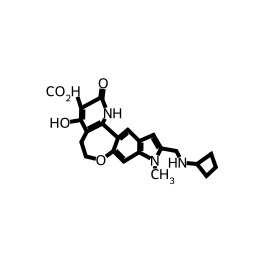 Cn1c(CNC2CCC2)cc2cc3c(cc21)OCCc1c-3[nH]c(=O)c(C(=O)O)c1O